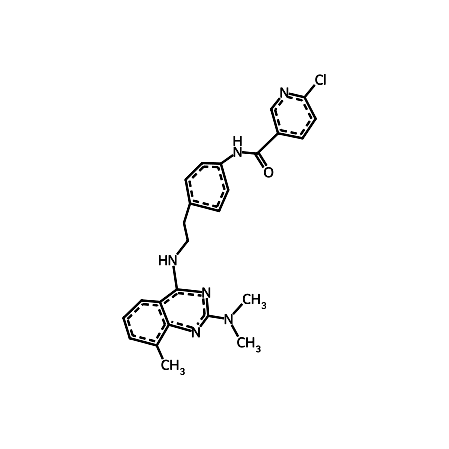 Cc1cccc2c(NCCc3ccc(NC(=O)c4ccc(Cl)nc4)cc3)nc(N(C)C)nc12